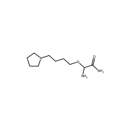 NC(=O)C(N)OCCCCN1CCCC1